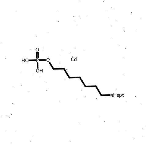 CCCCCCCCCCCCCCOP(=O)(O)O.[Cd]